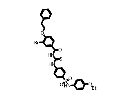 CCOc1ccc(NS(=O)(=O)c2ccc(NC(=S)NC(=O)c3ccc(OCCc4ccccc4)c(Br)c3)cc2)cc1